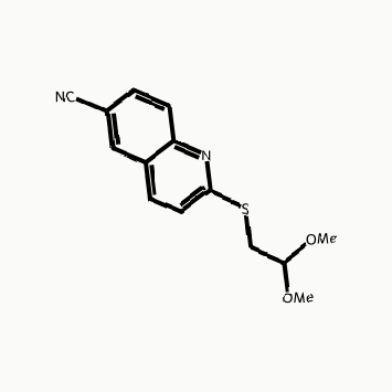 COC(CSc1ccc2cc(C#N)ccc2n1)OC